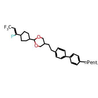 CCCCCc1ccc(-c2ccc(CCC3COC(C4CCC(/C(F)=C/C(F)(F)F)CC4)OC3)cc2)cc1